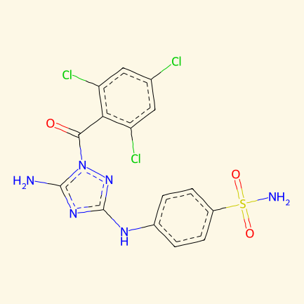 Nc1nc(Nc2ccc(S(N)(=O)=O)cc2)nn1C(=O)c1c(Cl)cc(Cl)cc1Cl